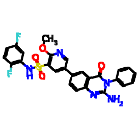 COc1ncc(-c2ccc3nc(N)n(-c4ccccc4)c(=O)c3c2)cc1S(=O)(=O)Nc1cc(F)ccc1F